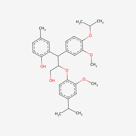 COc1cc(C(c2cc(C)ccc2O)C(CO)Oc2ccc(C(C)C)cc2OC)ccc1OC(C)C